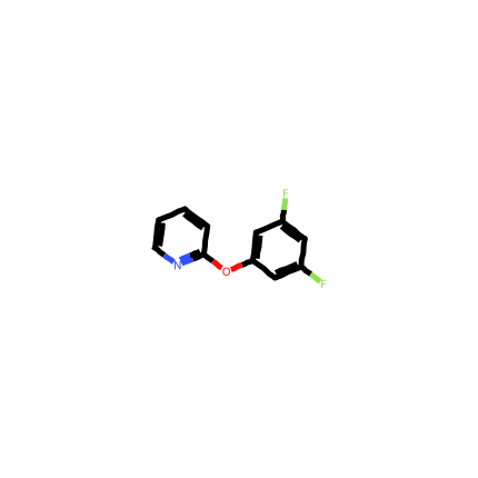 Fc1cc(F)cc(Oc2ccc[c]n2)c1